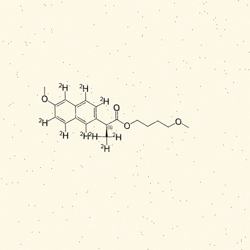 [2H]c1c([C@@H](C(=O)OCCCCOC)C([2H])([2H])[2H])c([2H])c2c([2H])c([2H])c(OC)c([2H])c2c1[2H]